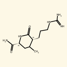 CC1C[C@H](C(N)=O)NC(=O)[C@@H]1CCCNC(=N)N